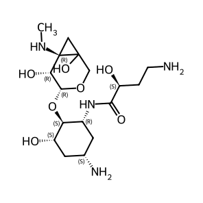 CN[C@@]12CC1(O)CO[C@H](O[C@@H]1[C@@H](O)C[C@@H](N)C[C@H]1NC(=O)[C@@H](O)CCN)[C@@H]2O